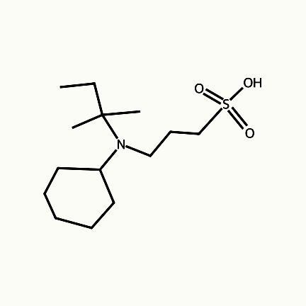 CCC(C)(C)N(CCCS(=O)(=O)O)C1CCCCC1